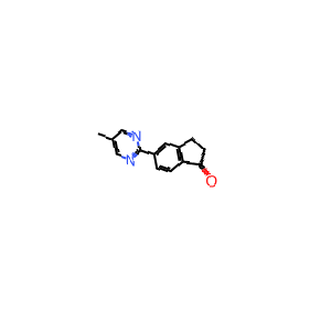 Cc1cnc(-c2ccc3c(c2)CCC3=O)nc1